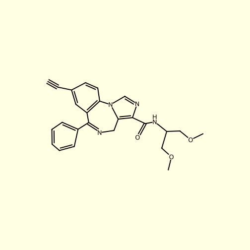 C#Cc1ccc2c(c1)C(c1ccccc1)=NCc1c(C(=O)NC(COC)COC)ncn1-2